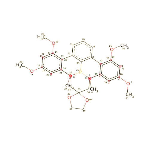 COc1cc(OC)c(-c2cccc(-c3c(OC)cc(OC)cc3OC)c2P2C(c3ccccc3)CC3(CC2c2ccccc2)OCCO3)c(OC)c1